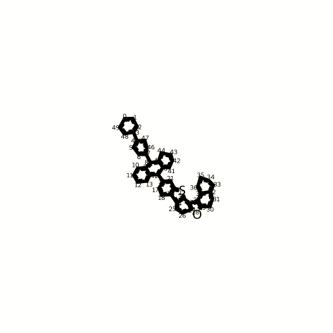 c1ccc(-c2ccc(-c3c4ccccc4c(-c4ccc5c(c4)sc4c5ccc5oc6ccc7ccccc7c6c54)c4ccccc34)cc2)cc1